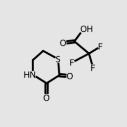 O=C(O)C(F)(F)F.O=C1NCCSC1=O